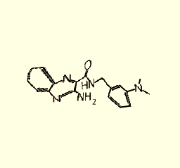 CN(C)c1cccc(CNC(=O)c2nc3ccccc3nc2N)c1